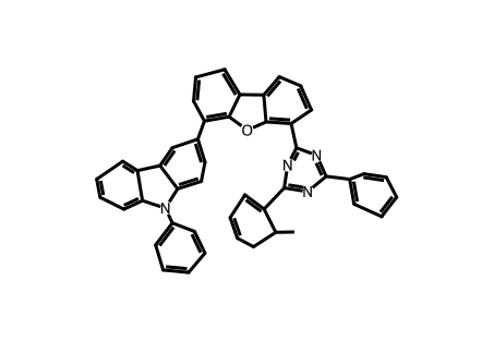 CC1CC=CC=C1c1nc(-c2ccccc2)nc(-c2cccc3c2oc2c(-c4ccc5c(c4)c4ccccc4n5-c4ccccc4)cccc23)n1